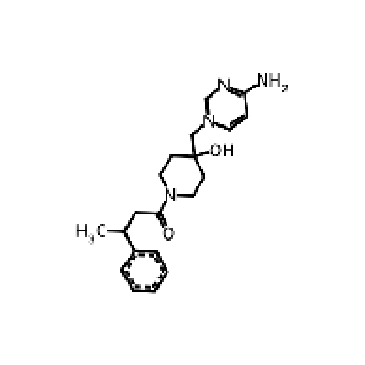 CC(CC(=O)N1CCC(O)(CN2C=CC(N)=NC2)CC1)c1ccccc1